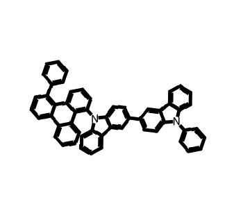 c1ccc(-c2cccc3c4ccccc4c4c(-n5c6ccccc6c6cc(-c7ccc8c(c7)c7ccccc7n8-c7ccccc7)ccc65)cccc4c23)cc1